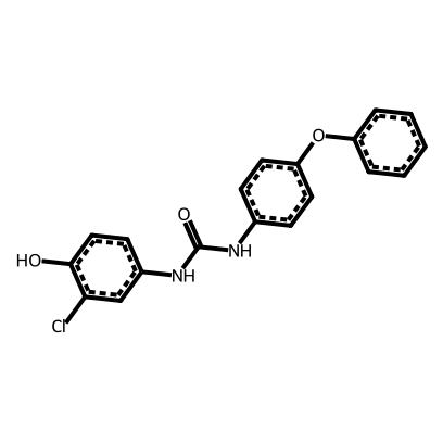 O=C(Nc1ccc(Oc2ccccc2)cc1)Nc1ccc(O)c(Cl)c1